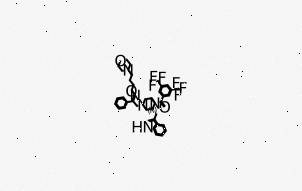 O=C(c1cc(C(F)(F)F)cc(C(F)(F)F)c1)N1CCN(CC(=NOCCCN2CCOCC2)c2ccccc2)C[C@H]1Cc1c[nH]c2ccccc12